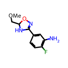 COCC1NC(c2ccc(F)c(N)c2)=NO1